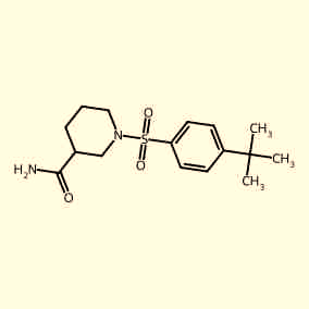 CC(C)(C)c1ccc(S(=O)(=O)N2CCCC(C(N)=O)C2)cc1